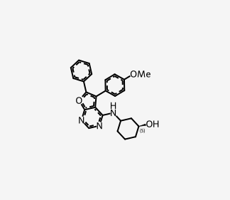 COc1ccc(-c2c(-c3ccccc3)oc3ncnc(NC4CCC[C@H](O)C4)c23)cc1